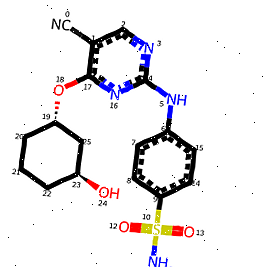 N#Cc1cnc(Nc2ccc(S(N)(=O)=O)cc2)nc1O[C@H]1CCC[C@H](O)C1